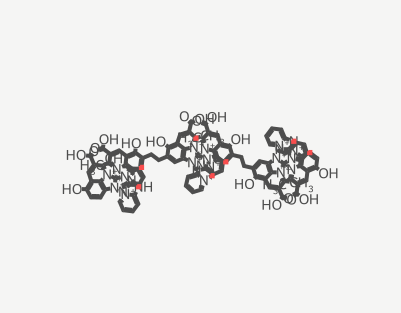 Cc1c(C(=O)O)cc2c(O)c(CCc3cc4c5c(cc(C(=O)O)c(C)[n+]5[C@]5([n+]6c(C)c(C(=O)O)cc7c(O)c(CCc8cc9c%10c(cc(C(=O)O)c(C)[n+]%10[C@]%10([n+]%11c(C)c(C(=O)O)cc%12c(O)ccc([N+]%13=Nc%14cccc[n+]%14C%13)c%12%11)[N+]9=Nc9cccc[n+]9%10)c8O)cc([N+]8=Nc9cccc[n+]9C8)c76)[N+]4=Nc4cccc[n+]45)c3O)cc(N3C[n+]4ccccc4N3)c2[n+]1[C@@]12[N+](=Nc3cccc[n+]31)c1ccc(O)c3cc(C(=O)O)c(C)[n+]2c13